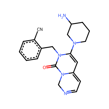 N#Cc1ccccc1CN1C(=O)N2CN=CC=C2C=C1N1CCCC(N)C1